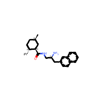 CC(C)[C@@H]1CC[C@@H](C)C[C@H]1C(=O)NC[C@@H](N)Cc1ccc2ccccc2c1